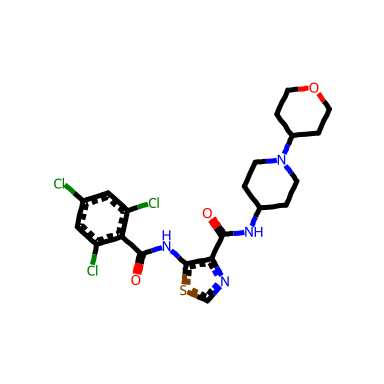 O=C(NC1CCN(C2CCOCC2)CC1)c1ncsc1NC(=O)c1c(Cl)cc(Cl)cc1Cl